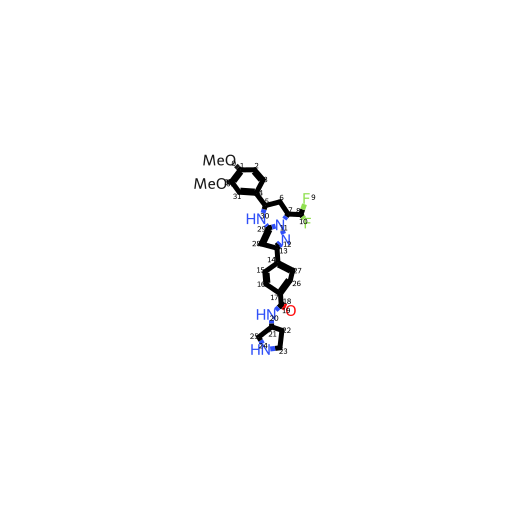 COc1ccc(C2CC(C(F)F)n3nc(-c4ccc(C(=O)NC5CCNC5)cc4)cc3N2)cc1OC